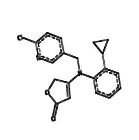 O=C1C=C(N(Cc2ccc(Cl)nc2)c2ccccc2C2CC2)CO1